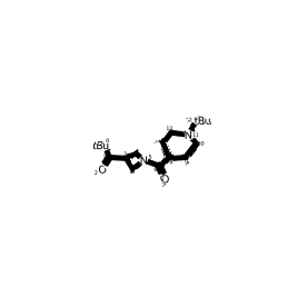 CC(C)(C)C(=O)C1CN(C(=O)C2CCN(C(C)(C)C)CC2)C1